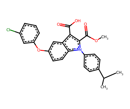 COC(=O)c1c(C(=O)O)c2cc(Oc3cccc(Cl)c3)ccc2n1-c1ccc(C(C)C)cc1